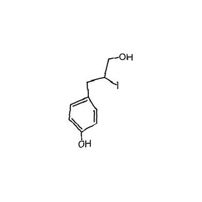 OCC(I)Cc1ccc(O)cc1